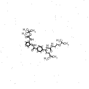 CC(C)OCCNC(=O)NC(CCN(C)C)c1ccc(C(=O)Nc2cscc2NC(=O)OC(C)(C)C)nc1